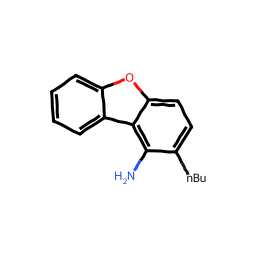 CCCCc1ccc2oc3ccccc3c2c1N